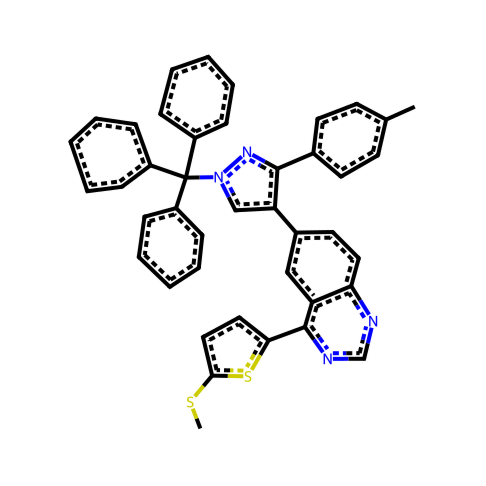 CSc1ccc(-c2ncnc3ccc(-c4cn(C(c5ccccc5)(c5ccccc5)c5ccccc5)nc4-c4ccc(C)cc4)cc23)s1